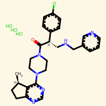 C[C@@H]1CCc2ncnc(N3CCN(C(=O)[C@@H](CNCc4cccnc4)c4ccc(Cl)cc4)CC3)c21.Cl.Cl.Cl